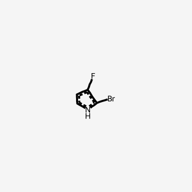 Fc1cc[nH]c1Br